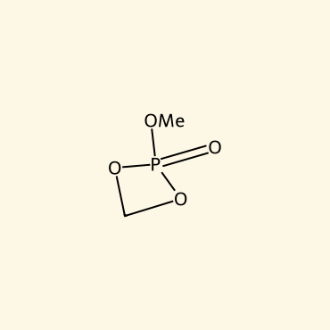 COP1(=O)OCO1